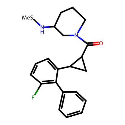 CSNC1CCCN(C(=O)C2CC2c2cccc(F)c2-c2ccccc2)C1